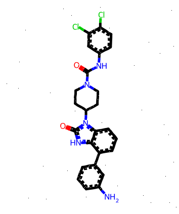 Nc1cccc(-c2cccc3c2[nH]c(=O)n3C2CCN(C(=O)Nc3ccc(Cl)c(Cl)c3)CC2)c1